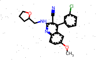 COc1ccc2nc(NCC3CCCO3)c(C#N)c(-c3cccc(Cl)c3)c2c1